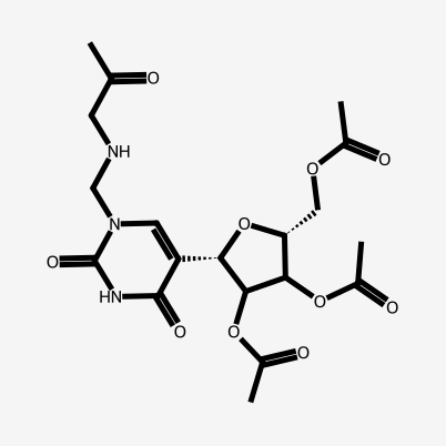 CC(=O)CNCn1cc([C@@H]2O[C@H](COC(C)=O)C(OC(C)=O)C2OC(C)=O)c(=O)[nH]c1=O